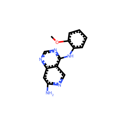 COc1ccccc1Nc1ncnc2cc(N)ncc12